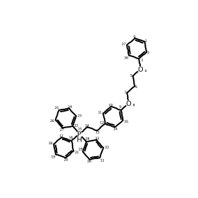 c1ccc(OCCCOc2ccc(CC[PH](c3ccccc3)(c3ccccc3)c3ccccc3)cc2)cc1